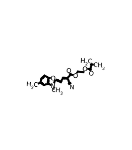 C=C(C)C(=O)OCCOC(=O)/C(C#N)=C/C=C1\Oc2ccc(C)cc2N1C